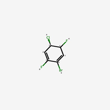 FC1=C[C@@H](Cl)C(F)C=C1Br